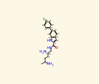 CC(N)CC[C@H](N)CNC(=O)c1cc2ccc(-c3ccc(F)cc3)cc2[nH]1